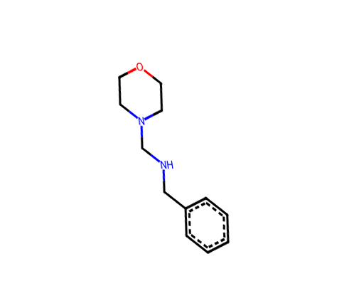 c1ccc(CNCN2CCOCC2)cc1